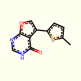 Cc1ccc(-c2coc3nc[nH]c(=O)c23)s1